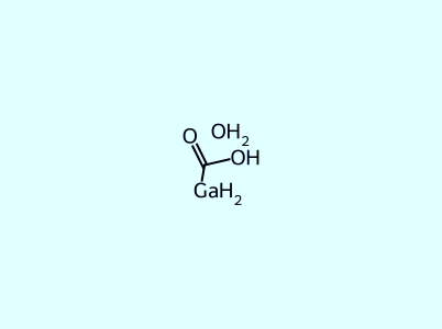 O.O=[C](O)[GaH2]